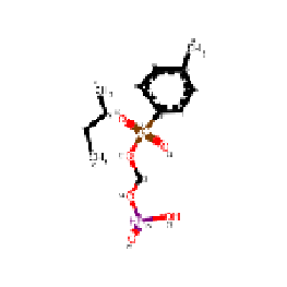 CCCC.Cc1ccc(S(=O)(=O)OCO[PH](=O)O)cc1